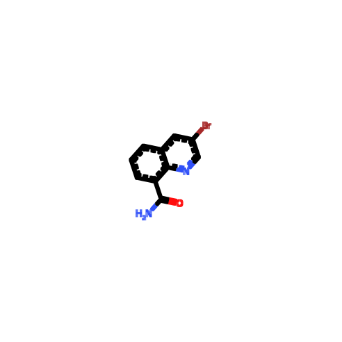 NC(=O)c1cccc2cc(Br)cnc12